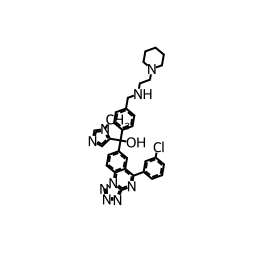 Cn1cncc1C(O)(c1ccc(CNCCN2CCCCC2)cc1)c1ccc2c(c1)c(-c1cccc(Cl)c1)nc1nnnn12